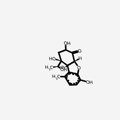 CCC[C@]12c3c(C)ccc(O)c3O[C@H]1C(=O)C(O)C[C@@]2(O)[C@H](C)O